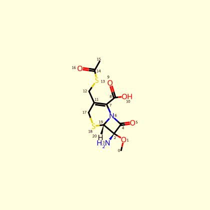 CO[C@@]1(N)C(=O)N2C(C(=O)O)=C(CSC(C)=O)CS[C@H]21